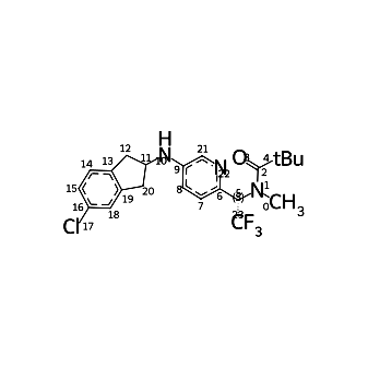 CN(C(=O)C(C)(C)C)[C@@H](c1ccc(NC2Cc3ccc(Cl)cc3C2)cn1)C(F)(F)F